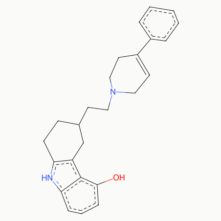 Oc1cccc2[nH]c3c(c12)CC(CCN1CC=C(c2ccccc2)CC1)CC3